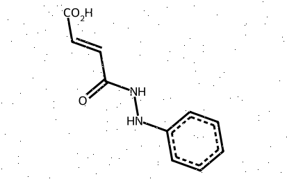 O=C(O)C=CC(=O)NNc1ccccc1